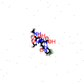 CC(C)Cn1c(=O)c(C(=O)NC2CC2)c(O)n2nc(NC(=O)O)c(/C=C/C(=O)N3CCC(F)(F)CC3)c12